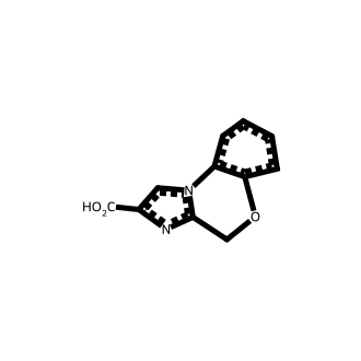 O=C(O)c1cn2c(n1)COc1ccccc1-2